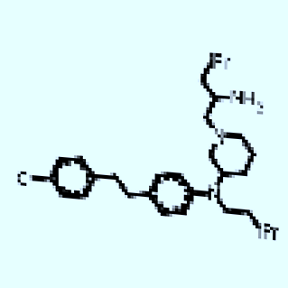 CC(C)CCN(c1ccc(CCc2ccc(Cl)cc2)cc1)C1CCCN(CC(N)CC(C)C)C1